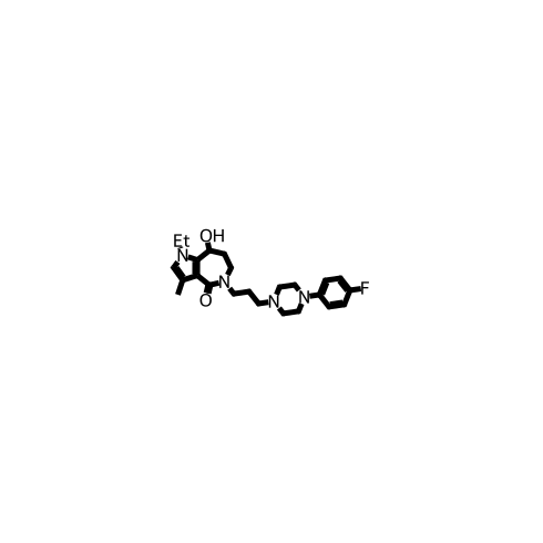 CCn1cc(C)c2c1C(O)CCN(CCCN1CCN(c3ccc(F)cc3)CC1)C2=O